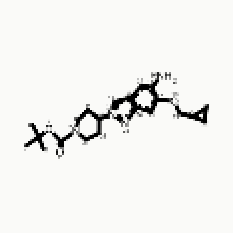 CC(C)(C)OC(=O)N1CCC(n2cc3cc(N)c(OCC4CC4)cc3n2)CC1